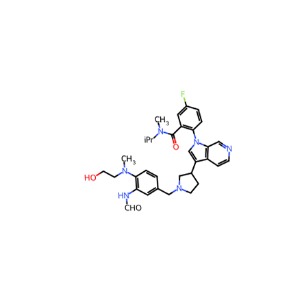 CC(C)N(C)C(=O)c1cc(F)ccc1-n1cc(C2CCN(Cc3ccc(N(C)CCO)c(NC=O)c3)C2)c2ccncc21